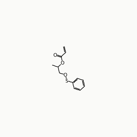 C=CC(=O)OC(C)COSc1ccccc1